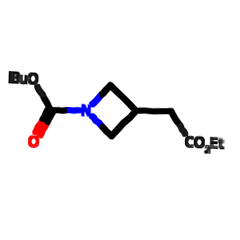 CCOC(=O)CC1CN(C(=O)OCC(C)C)C1